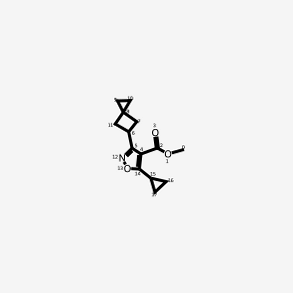 COC(=O)c1c(C2CC3(CC3)C2)noc1C1CC1